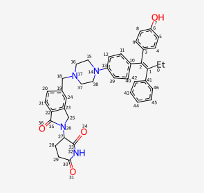 CCC(=C(c1ccc(O)cc1)c1ccc(N2CCN(Cc3ccc4c(c3)CN(C3CCC(=O)NC3=O)C4=O)CC2)cc1)c1ccccc1